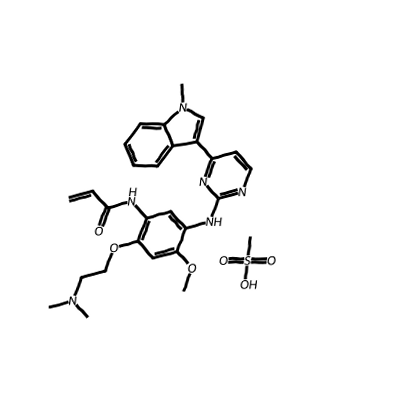 C=CC(=O)Nc1cc(Nc2nccc(-c3cn(C)c4ccccc34)n2)c(OC)cc1OCCN(C)C.CS(=O)(=O)O